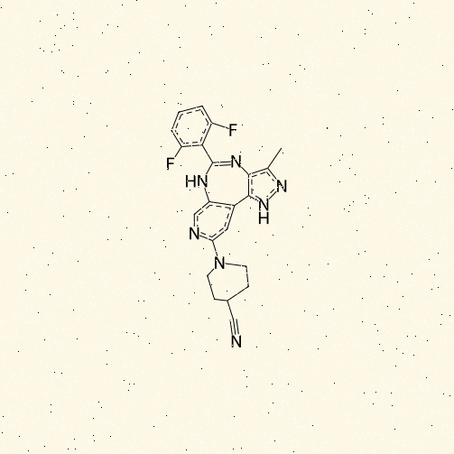 Cc1n[nH]c2c1N=C(c1c(F)cccc1F)Nc1cnc(N3CCC(C#N)CC3)cc1-2